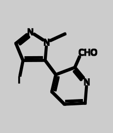 Cn1ncc(I)c1-c1cccnc1C=O